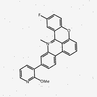 COc1ncccc1-c1ccc2c3cccc4c3c([n+](C)c2c1)-c1cc(F)ccc1O4